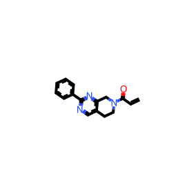 C=CC(=O)N1CCc2cnc(-c3ccccc3)nc2C1